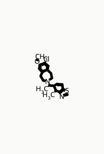 COc1cc2c(cc1Cl)CCN([C@H](C)C1C=Cc3scnc3C1C)CC2